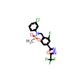 CS(=O)(=O)N(Cc1ccc(-c2nnc(C(F)(F)F)o2)cc1F)c1cccc(Cl)c1